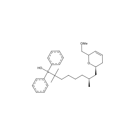 COCC1C=CC[C@@H](C[C@@H](C)CCCCC(C)(C)[Si](O)(c2ccccc2)c2ccccc2)O1